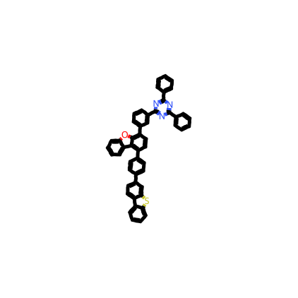 c1ccc(-c2nc(-c3ccccc3)nc(-c3cccc(-c4ccc(-c5ccc(-c6ccc7c(c6)sc6ccccc67)cc5)c5c4oc4ccccc45)c3)n2)cc1